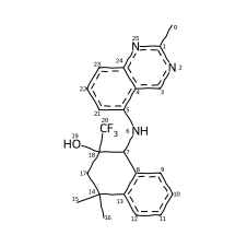 Cc1ncc2c(NC3c4ccccc4C(C)(C)CC3(O)C(F)(F)F)cccc2n1